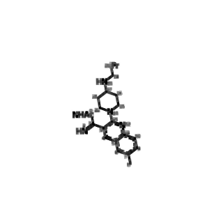 CC(=O)NC(=N)c1cc2cc(C)ccc2nc1N1CCC(NCC(C)C)CC1